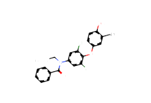 CC(C)c1cc(Oc2c(Cl)cc(N(CC(=O)O)C(=O)c3ccccc3)cc2Cl)ccc1O